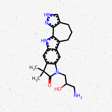 CC1(C)C(=O)N(CC(O)CN)c2cc3c4c([nH]c3cc21)-c1n[nH]cc1CCC4